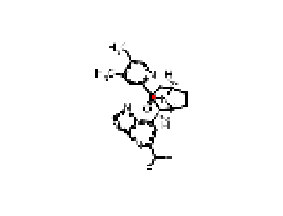 Cc1cnc(C(=O)N2[C@H]3CC[C@H](c4cc(C(F)F)nc5ncnn45)[C@@H]2CC3)cc1C